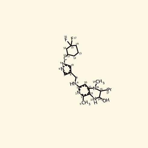 Cc1nc(NCc2cnn(CC3CCCC(F)(F)C3)c2)cc2c1NC(O)C(C(C)C)N2C